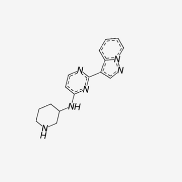 c1ccn2ncc(-c3nccc(NC4CCCNC4)n3)c2c1